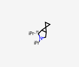 CC(C)[C@@H]1C2C(CN1C(C)C)C21CC1